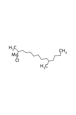 CCCCC(C)CCCCCCC[CH](C)[Mg][Cl]